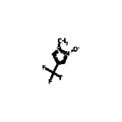 Cn1cc(C(F)(F)F)c[n+]1[O-]